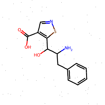 NC(Cc1ccccc1)C(O)c1sncc1C(=O)O